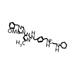 COc1cccc(CN2CCN(c3cc(C)nc(NCc4ccc(CNCCCNC5CCCCC5)cc4)n3)CC2)c1